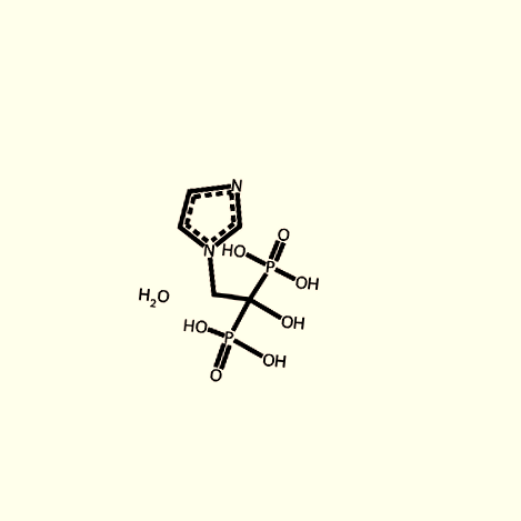 O.O=P(O)(O)C(O)(Cn1ccnc1)P(=O)(O)O